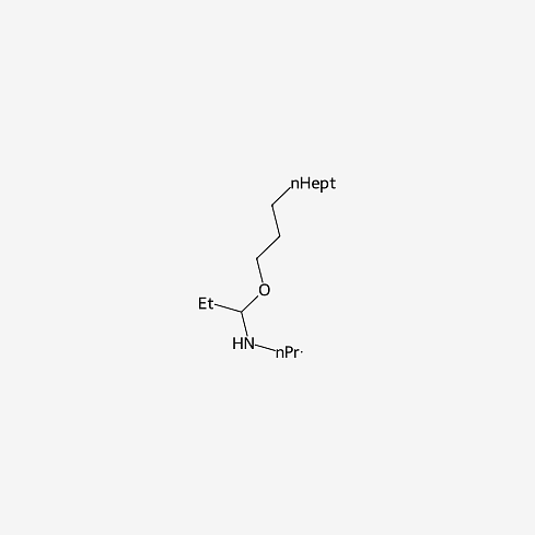 CC[CH]NC(CC)OCCCCCCCCCC